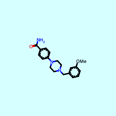 COc1cccc(CN2CCN(c3ccc(C(N)=O)cc3)CC2)c1